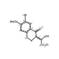 CCOC(=O)/C(O)=C1\COc2cc(OC)c(Br)cc2C1=O